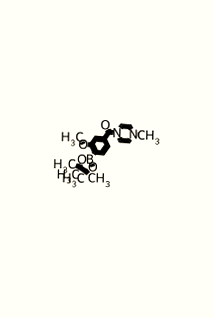 COc1cc(C(=O)N2CCN(C)CC2)ccc1B1OC(C)(C)C(C)(C)O1